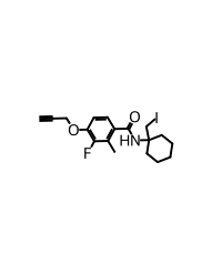 C#CCOc1ccc(C(=O)NC2(CI)CCCCC2)c(C)c1F